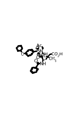 CC(=O)CN(NC(=O)[C@H](CC(C)(C)CC(=O)O)NC(=O)c1ccccc1)S(=O)(=O)c1ccc(Oc2ccccc2)cc1